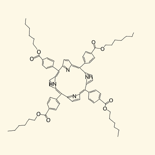 CCCCCCCOC(=O)c1ccc(-c2c3nc(c(-c4ccc(C(=O)OCCCCCC)cc4)c4ccc([nH]4)c(-c4ccc(C(=O)OCCCCCC)cc4)c4nc(c(-c5ccc(C(=O)OCCCCCC)cc5)c5ccc2[nH]5)C=C4)C=C3)cc1